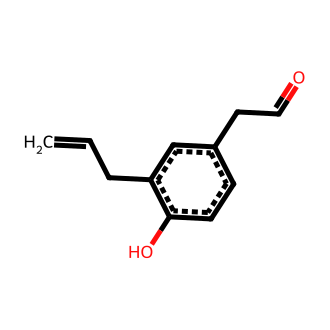 C=CCc1cc(CC=O)ccc1O